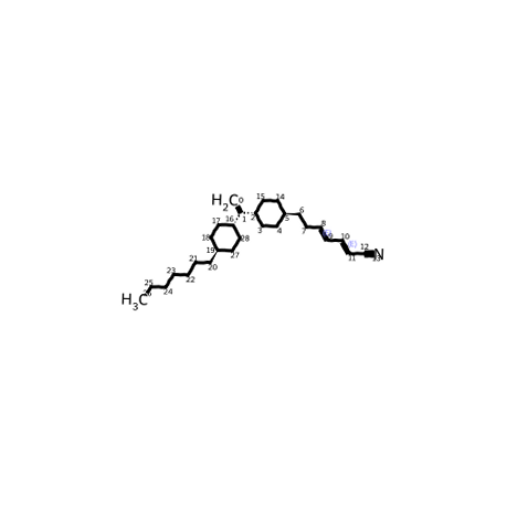 C=C([C@H]1CC[C@H](CC/C=C/C=C/C#N)CC1)[C@H]1CC[C@H](CCCCCCC)CC1